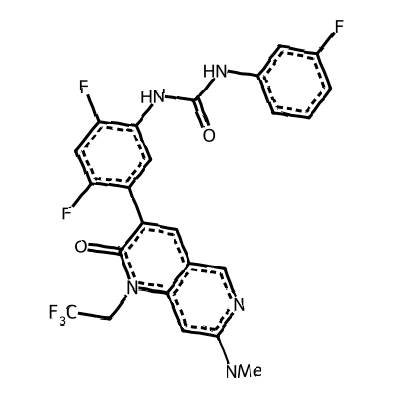 CNc1cc2c(cn1)cc(-c1cc(NC(=O)Nc3cccc(F)c3)c(F)cc1F)c(=O)n2CC(F)(F)F